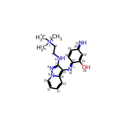 C[N+](C)(C)CCNc1nn2ccccc2c1/N=C1\C=CC(=N)C=C1O